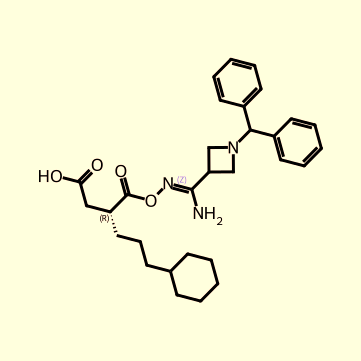 N/C(=N\OC(=O)[C@H](CCCC1CCCCC1)CC(=O)O)C1CN(C(c2ccccc2)c2ccccc2)C1